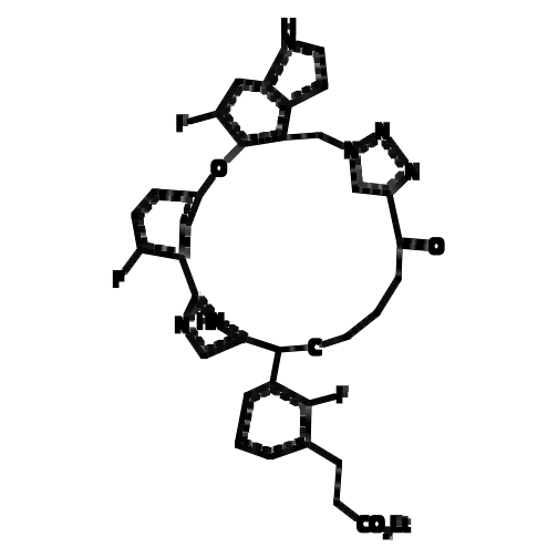 CCOC(=O)CCc1cccc(C2CCCCC(=O)c3cn(nn3)Cc3c(c(F)cc4[nH]ccc34)Oc3ccc(F)c(c3)-c3ncc2[nH]3)c1F